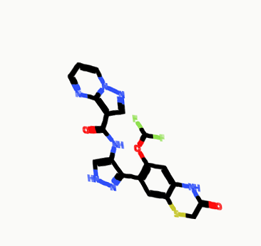 O=C1CSc2cc(-c3n[nH]cc3NC(=O)c3cnn4cccnc34)c(OC(F)F)cc2N1